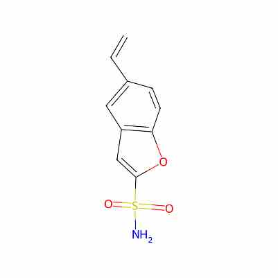 C=Cc1ccc2oc(S(N)(=O)=O)cc2c1